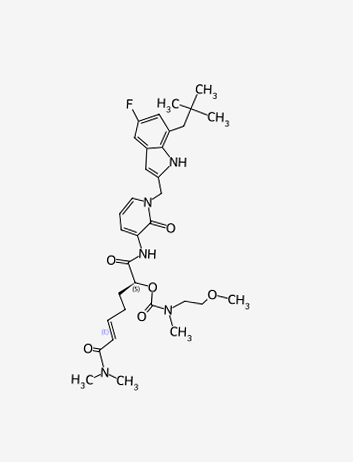 COCCN(C)C(=O)O[C@@H](CC/C=C/C(=O)N(C)C)C(=O)Nc1cccn(Cc2cc3cc(F)cc(CC(C)(C)C)c3[nH]2)c1=O